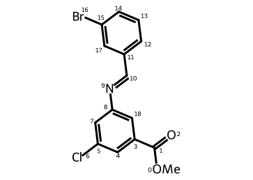 COC(=O)c1cc(Cl)cc(N=Cc2cccc(Br)c2)c1